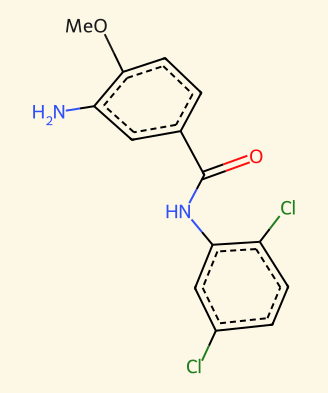 COc1ccc(C(=O)Nc2cc(Cl)ccc2Cl)cc1N